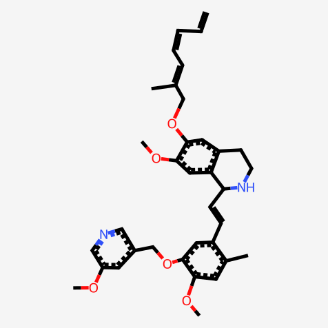 C=C/C=C\C=C(/C)COc1cc2c(cc1OC)C(/C=C/c1cc(OCc3cncc(OC)c3)c(OC)cc1C)NCC2